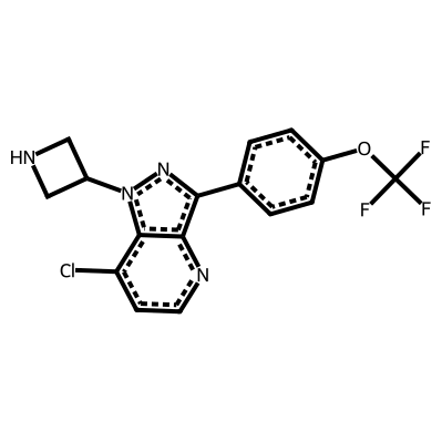 FC(F)(F)Oc1ccc(-c2nn(C3CNC3)c3c(Cl)ccnc23)cc1